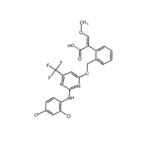 COC=C(C(=O)O)c1ccccc1COc1cc(C(F)(F)F)nc(Nc2ccc(Cl)cc2Cl)n1